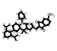 Bc1ccc2c(c1)C(=O)/C(=C\c1ccc3c(c1)C(C)(C)c1cc(-c4c(C(C)C)cccc4C(C)C)ccc1N3c1ccccc1)C2=O